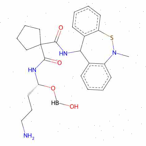 CN1Sc2ccccc2C(NC(=O)C2(C(=O)N[C@@H](CCCN)OBO)CCCC2)c2ccccc21